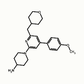 COc1ccc(-c2cc(CC3CCOCC3)nc(N3CCC(N)CC3)c2)cc1